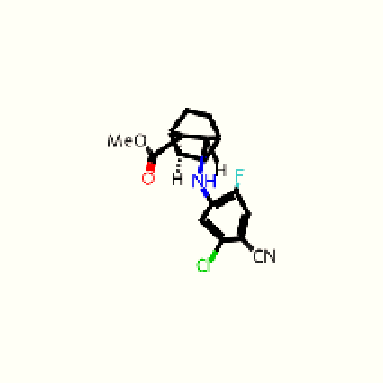 COC(=O)[C@H]1C2CCC(CC2)[C@@H]1Nc1cc(Cl)c(C#N)cc1F